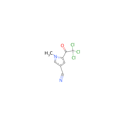 Cn1cc(C#N)cc1C(=O)C(Cl)(Cl)Cl